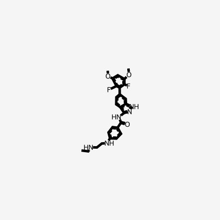 CCNCCNc1ccc(C(=O)Nc2n[nH]c3cc(-c4c(F)c(OC)cc(OC)c4F)ccc23)cc1